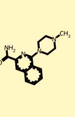 CN1CCN(c2nc(C(N)=O)cc3ccccc23)CC1